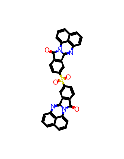 O=C1c2ccc(S(=O)(=O)c3ccc4c(c3)C3=Nc5cccc6cccc(c56)N3C4=O)cc2C2=Nc3cccc4cccc(c34)N12